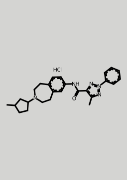 Cc1nn(-c2ccccc2)nc1C(=O)Nc1ccc2c(c1)CCN(C1CCC(C)C1)CC2.Cl